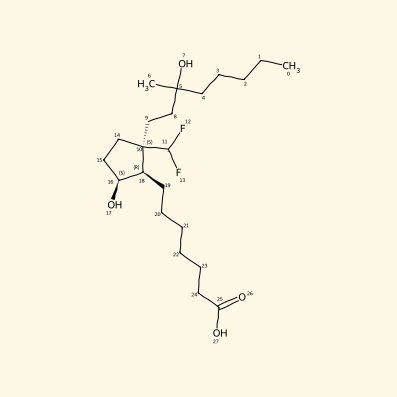 CCCCCC(C)(O)CC[C@@]1([C](F)F)CC[C@H](O)[C@@H]1CCCCCCC(=O)O